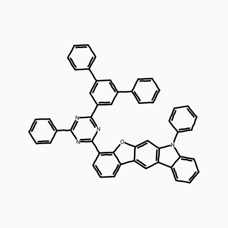 c1ccc(-c2cc(-c3ccccc3)cc(-c3nc(-c4ccccc4)nc(-c4cccc5c4oc4cc6c(cc45)c4ccccc4n6-c4ccccc4)n3)c2)cc1